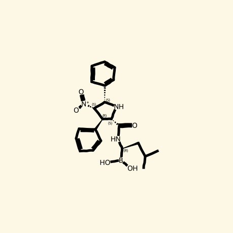 CC(C)C[C@H](NC(=O)[C@H]1N[C@@H](c2ccccc2)[C@@H]([N+](=O)[O-])[C@@H]1c1ccccc1)B(O)O